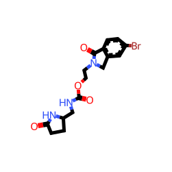 O=C1CCC(CNC(=O)OCCN2Cc3cc(Br)ccc3C2=O)N1